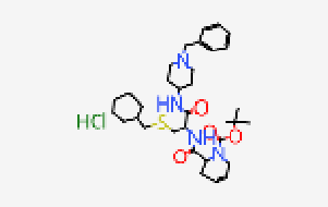 CC(C)(C)OC(=O)N1CC=CCC1C(=O)N[C@@H](CSCC1CCCCC1)C(=O)NC1CCN(Cc2ccccc2)CC1.Cl